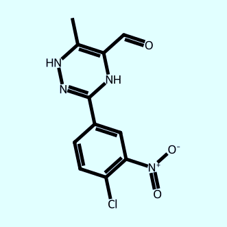 CC1=C(C=O)NC(c2ccc(Cl)c([N+](=O)[O-])c2)=NN1